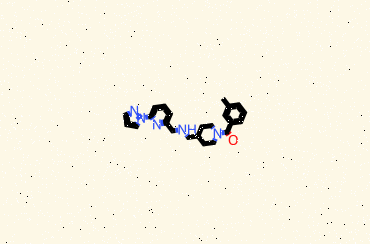 Cc1cccc(C(=O)N2CCC(CNCc3cccc(-n4cccn4)n3)CC2)c1